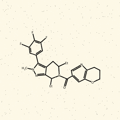 CCC1Cc2c(nn(C)c2-c2cc(F)c(F)c(F)c2)C(CC)N1C(=O)c1cnc2c(c1)OCCC2